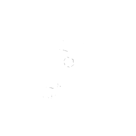 CCOC(=O)C(C)CC(=O)c1ccc(OC2CCN(C(=O)OC(C)(C)C)CC2)cc1